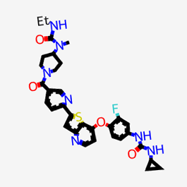 CCNC(=O)N(C)C1CCN(C(=O)c2ccc(-c3cc4nccc(Oc5ccc(NC(=O)NC6CC6)cc5F)c4s3)nc2)CC1